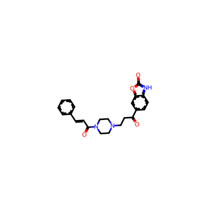 O=C(CCN1CCN(C(=O)C=Cc2ccccc2)CC1)c1ccc2[nH]c(=O)oc2c1